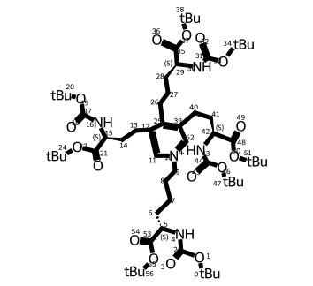 CC(C)(C)OC(=O)N[C@@H](CCCC[n+]1cc(CC[C@H](NC(=O)OC(C)(C)C)C(=O)OC(C)(C)C)c(CCC[C@H](NC(=O)OC(C)(C)C)C(=O)OC(C)(C)C)c(CC[C@H](NC(=O)OC(C)(C)C)C(=O)OC(C)(C)C)c1)C(=O)OC(C)(C)C